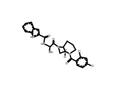 CC(C)(C)C(NC(=O)c1cc2ccccc2[nH]1)C(=O)N1C[C@@H]2C1CCCN2C(=O)c1ccc(Cl)cc1Cl